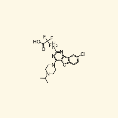 CC(C)N1CCN(c2nc(N)nc3c2oc2ccc(Cl)cc23)CC1.O=C(O)C(F)(F)F